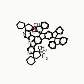 CC1(C)CCC2(CCCCC2)c2ncc3c(c21)c1cc2c(c4c5c6c(ncc5n3c14)C1(CCCCC1)CCC6(C)C)C1(c3ccccc3-c3ccccc31)c1cc3c(cc1-2)C1(c2ccccc2-c2ccccc21)c1ccccc1-3